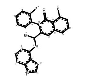 CCC(Nc1ncnc2[nH]cnc12)c1cc2cccc(F)c2c(=O)n1-c1ccccc1F